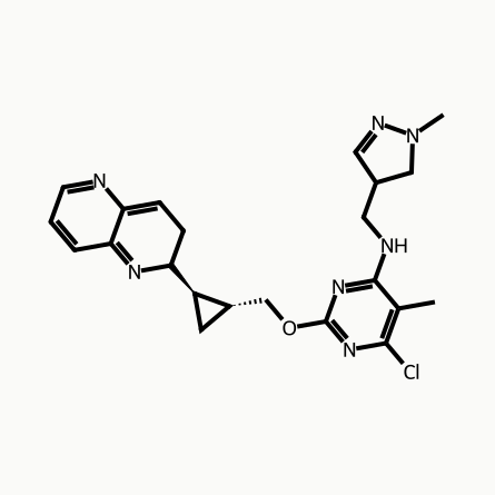 Cc1c(Cl)nc(OC[C@@H]2C[C@H]2C2CC=c3ncccc3=N2)nc1NCC1C=NN(C)C1